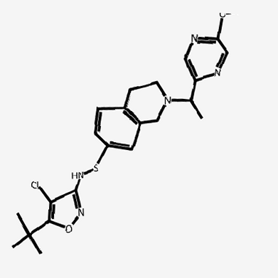 CCOc1cnc(C(C)N2CCc3ccc(SNc4noc(C(C)(C)C)c4Cl)cc3C2)cn1